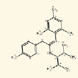 Cc1ccc(C/C(=N\c2c(C)cc(C)cc2C)NP(C(C)C)C(C)C)cc1